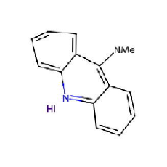 CNc1c2ccccc2nc2ccccc12.I